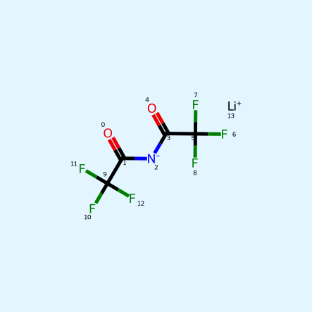 O=C([N-]C(=O)C(F)(F)F)C(F)(F)F.[Li+]